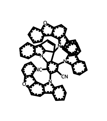 N#Cc1c2c(c(-n3c4ccccc4c4ccccc43)c(C#N)c1-n1c3ccccc3c3ccc4oc5ccccc5c4c31)C1(n3c4ccccc4c4ccc5oc6ccccc6c5c43)C=Cc3c1n-2c1ccccc31